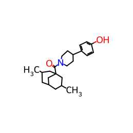 CC1CC2CC(C)CC(C(=O)N3CCC(c4ccc(O)cc4)CC3)(C1)C2